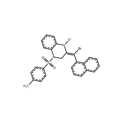 Cc1ccc(S(=O)(=O)N2CC(=C(Br)c3cccc4ccccc34)[S+]([O-])c3ccccc32)cc1